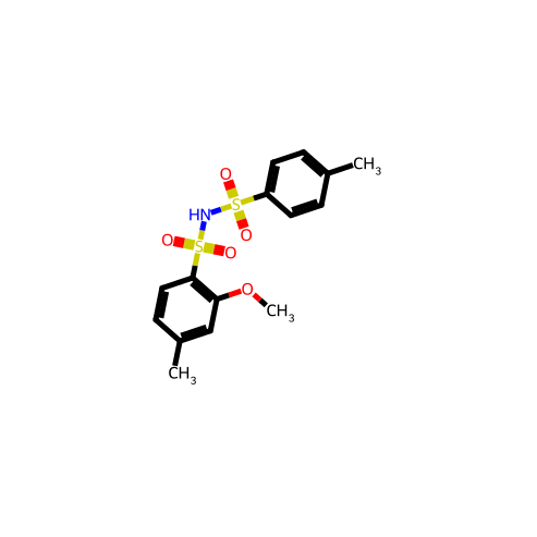 COc1cc(C)ccc1S(=O)(=O)NS(=O)(=O)c1ccc(C)cc1